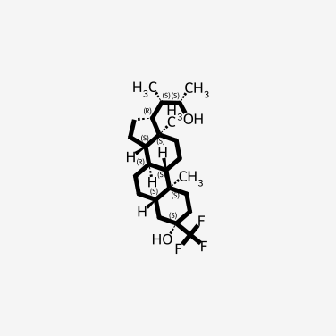 C[C@H]([C@H](C)O)[C@H]1CC[C@H]2[C@@H]3CC[C@H]4C[C@](O)(C(F)(F)F)CC[C@]4(C)[C@H]3CC[C@]12C